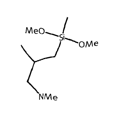 CNCC(C)C[Si](C)(OC)OC